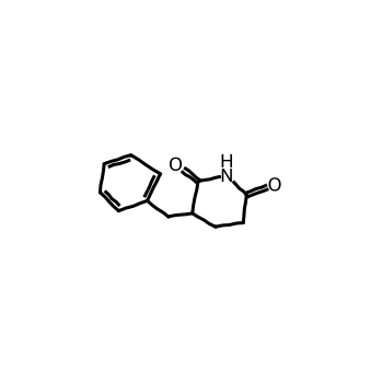 O=C1CCC(Cc2ccccc2)C(=O)N1